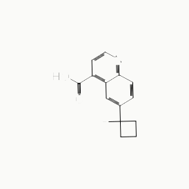 O=C(O)c1ccnc2ccc(C3(F)CCC3)cc12